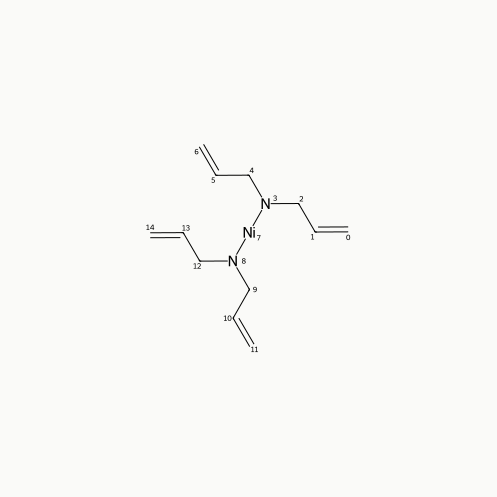 C=CC[N](CC=C)[Ni][N](CC=C)CC=C